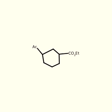 CCOC(=O)C1CCCC(C(C)=O)C1